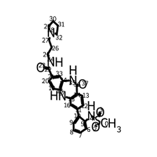 CS(=O)(=O)Nc1ccccc1-c1ccc2c(c1)Nc1ccc(C(=O)NCCCN3CCCC3)cc1NC2=O